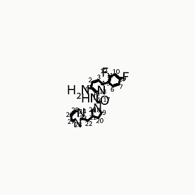 Nc1ccc(-c2ccc(F)cc2F)nc1NC(=O)N1CCC(Cc2ncccn2)C1